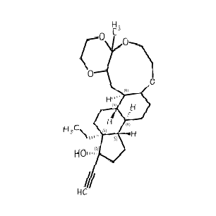 C#C[C@]1(O)CC[C@H]2[C@@H]3CCC4OCCOC5(C)OCCOC5C[C@@H]4[C@H]3CC[C@@]21CC